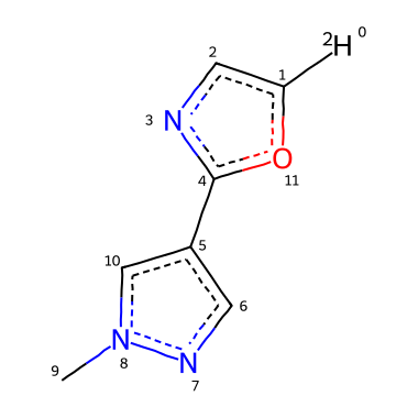 [2H]c1cnc(-c2cnn(C)c2)o1